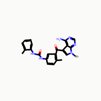 Cc1ccccc1NC(=O)Nc1ccc(C)c(C(=O)c2cn(C(C)C)c3ncnc(N)c23)c1